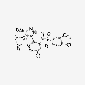 CO[C@H]1CNC[C@@H]1n1cnnc1-c1ncc(Cl)cc1NS(=O)(=O)c1ccc(Cl)c(C(F)(F)F)c1